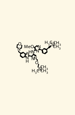 COc1cnc(-c2cccc(C#C[Si](C)(C)C)c2)nc1Nc1cn(COCC[Si](C)(C)C)nc1-c1nc2cc(CN3CCOCC3)ccc2[nH]1